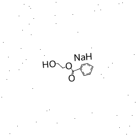 O=C(OCCO)c1ccccc1.[NaH]